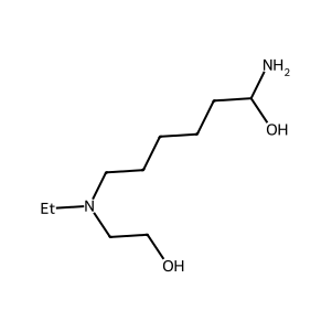 CCN(CCO)CCCCCC(N)O